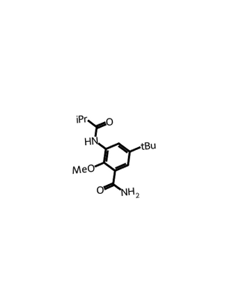 COc1c(NC(=O)C(C)C)cc(C(C)(C)C)cc1C(N)=O